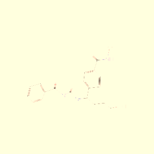 O=C(NC(=O)c1ccccc1)NC(CCCO)c1ccc(C(=O)NO)cc1